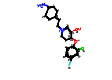 NC1CCC(CCN2CC[C@H](Oc3ccc(F)cc3Cl)[C@@H](O)C2)CC1